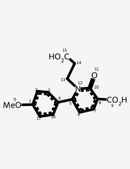 COc1ccc(-c2ccc(C(=O)O)c(=O)n2CCC(=O)O)cc1